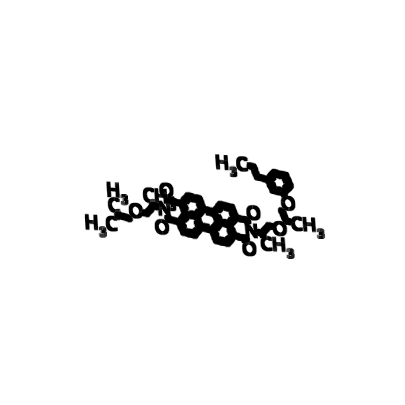 CCCc1cccc(OCC(C)OCC(C)N2C(=O)c3ccc4c5ccc6c7c(ccc(c8ccc(c3c48)C2=O)c75)C(=O)N(C(C)COCC(C)C)C6=O)c1